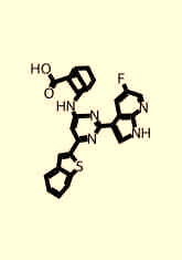 O=C(O)C1C2CCC(CC2)C1Nc1cc(-c2cc3ccccc3s2)nc(-c2c[nH]c3ncc(F)cc23)n1